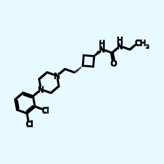 CCNC(=O)N[C@H]1C[C@H](CCN2CCN(c3cccc(Cl)c3Cl)CC2)C1